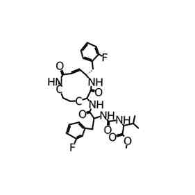 COC(=O)C(NC(=O)NC(Cc1cccc(F)c1)C(=O)N[C@H]1CCCCNC(=O)/C=C/[C@H](Cc2ccccc2F)NC1=O)C(C)C